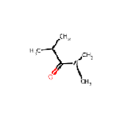 CC(C)[C](=O)[Al]([CH3])[CH3]